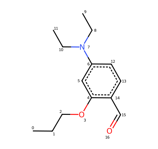 CCCOc1cc(N(CC)CC)ccc1C=O